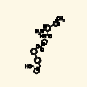 Cn1cc(-c2cnc(N)c(C(=O)N[C@@H]3CCN(C(=O)Oc4cccc(-c5ccc(CN6CCC[C@@H]6CO)cc5)c4)C3)c2)cn1